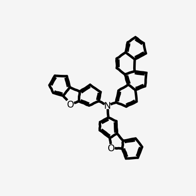 c1ccc2c(c1)ccc1c3cc(N(c4ccc5c(c4)oc4ccccc45)c4ccc5oc6ccccc6c5c4)ccc3ccc21